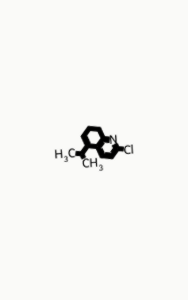 CC(C)C1=CCCc2nc(Cl)ccc21